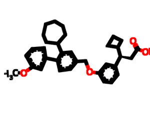 COc1cccc(-c2ccc(COc3cccc([C@H](CC(=O)O)C4CCC4)c3)cc2C2CCCCCC2)c1